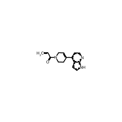 C=CC(=O)N1CC=C(c2ccnc3[nH]ccc23)CC1